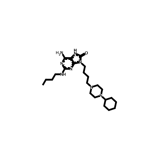 CCCCNc1nc(N)c2[nH]c(=O)n(CCCCN3CCN(C4CCCCC4)CC3)c2n1